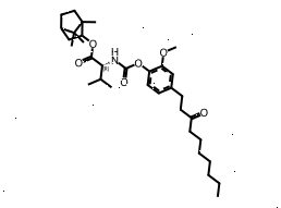 CCCCCCCC(=O)CCc1ccc(OC(=O)N[C@@H](C(=O)OC2CC3CCC2(C)C3(C)C)C(C)C)c(OC)c1